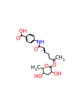 CC1O[C@@H](O[C@H](C)CC/C=C/C(=O)Nc2ccc(C(=O)O)cc2)C(O)CC1O